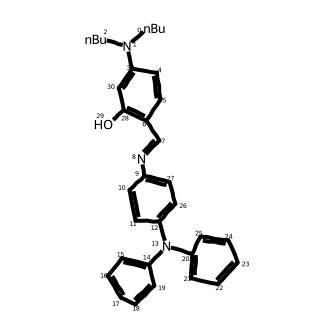 CCCCN(CCCC)c1ccc(/C=N/c2ccc(N(c3ccccc3)c3ccccc3)cc2)c(O)c1